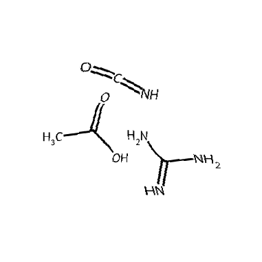 CC(=O)O.N=C(N)N.N=C=O